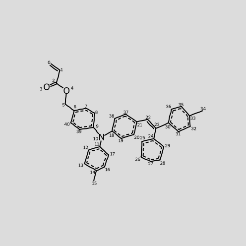 C=CC(=O)OCc1ccc(N(c2ccc(C)cc2)c2ccc(/C=C(\c3ccccc3)c3ccc(C)cc3)cc2)cc1